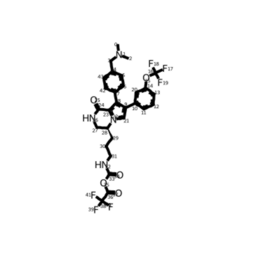 CN(C)Cc1ccc(-c2c(-c3cccc(OC(F)(F)F)c3)cn3c2C(=O)NC[C@@H]3CCCNC(=O)OC(=O)C(F)(F)F)cc1